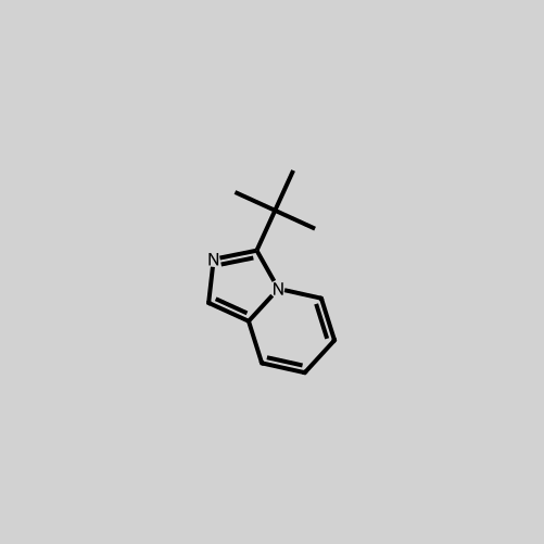 CC(C)(C)c1ncc2ccccn12